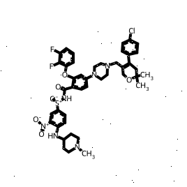 CN1CCC(Nc2ccc([S+]([O-])NC(=O)c3ccc(N4CCN(CC5=C(c6ccc(Cl)cc6)CC(C)(C)OC5)CC4)cc3Oc3cccc(F)c3F)cc2[N+](=O)[O-])CC1